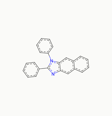 c1ccc(-c2nc3cc4ccccc4cc3n2-c2ccccc2)cc1